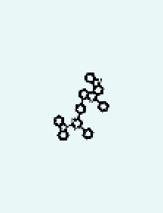 c1ccc(-c2cc(-c3ccc(-c4cccc5c4nc(-c4ccccc4)c4ccc6oc7ccccc7c6c45)cc3)nc(-n3c4ccccc4c4ccccc43)n2)cc1